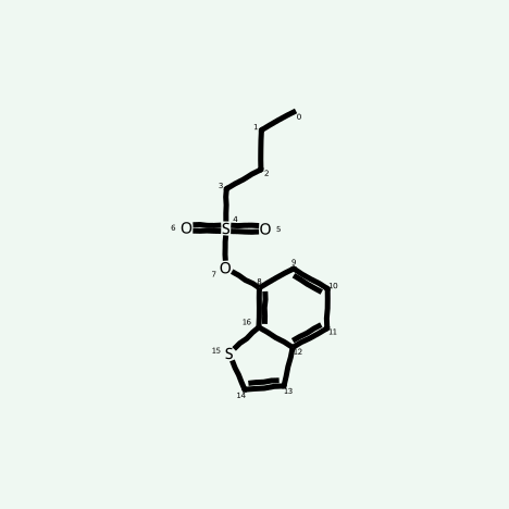 CCCCS(=O)(=O)Oc1cccc2ccsc12